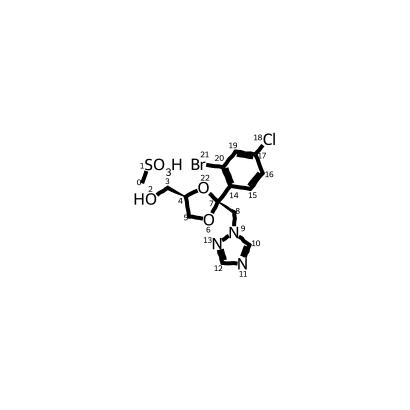 CS(=O)(=O)O.OC[C@@H]1CO[C@@](Cn2cncn2)(c2ccc(Cl)cc2Br)O1